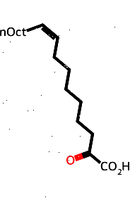 CCCCCCCC/C=C\CCCCCCC(=O)C(=O)O